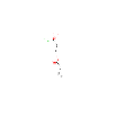 CCCC(=O)OCCC(=O)Cl